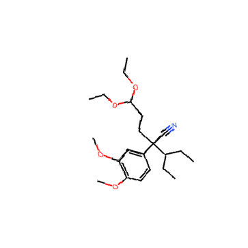 CCOC(CCC(C#N)(c1ccc(OC)c(OC)c1)C(CC)CC)OCC